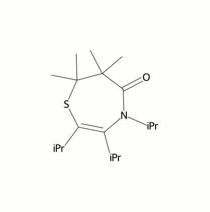 CC(C)C1=C(C(C)C)N(C(C)C)C(=O)C(C)(C)C(C)(C)S1